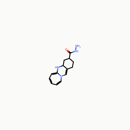 NNC(=O)C1CCC2=CN3C=CC=CC=C3NC2C1